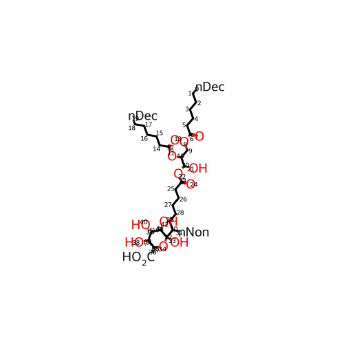 CCCCCCCCCCCCCCCC(=O)OCC(OC(=O)CCCCCCCCCCCCCCC)C(O)OC(=O)CCCCCC(CCCCCCCCC)C1(O)O[C@H](C(=O)O)[C@@H](O)[C@H](O)[C@H]1O